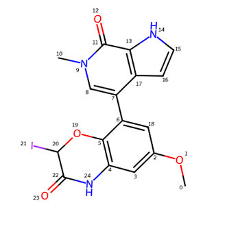 COc1cc2c(c(-c3cn(C)c(=O)c4[nH]ccc34)c1)OC(I)C(=O)N2